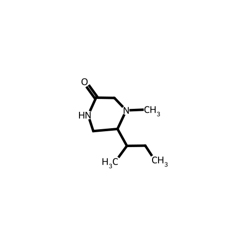 CCC(C)C1CNC(=O)CN1C